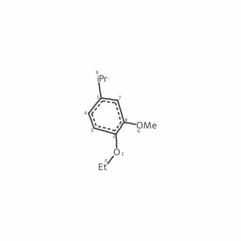 CCOc1ccc([C](C)C)cc1OC